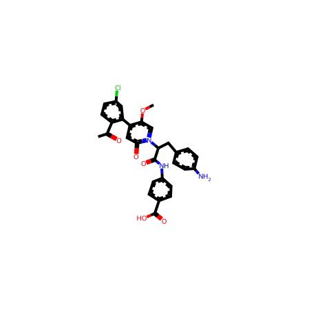 COc1cn(C(Cc2ccc(N)cc2)C(=O)Nc2ccc(C(=O)O)cc2)c(=O)cc1-c1cc(Cl)ccc1C(C)=O